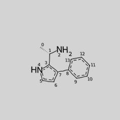 C[C@H](N)c1[nH]ccc1-c1ccccc1